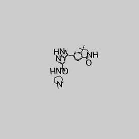 CN1CCC(NC(=O)c2cnc3[nH]cc(-c4ccc5c(c4)C(C)(C)CNC5=O)c3c2)CC1